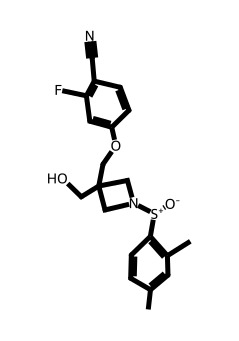 Cc1ccc([S+]([O-])N2CC(CO)(COc3ccc(C#N)c(F)c3)C2)c(C)c1